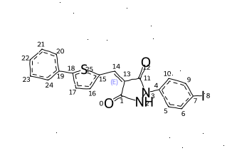 O=C1NN(c2ccc(I)cc2)C(=O)/C1=C/c1ccc(-c2ccccc2)s1